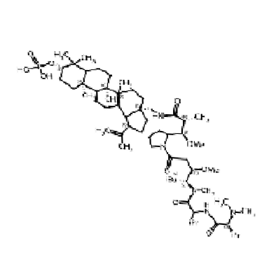 C=C(C)[C@@H]1CC[C@]2(CNC(=O)[C@H](C)[C@@H](OC)C3CCCN3C(=O)C[C@@H](OC)[C@H]([C@@H](C)CC)N(C)C(=O)C(NC(=O)[C@H](C(C)C)N(C)C)C(C)C)CC[C@]3(C)C(CCC4[C@@]5(C)CC[C@H](OP(=O)(O)O)C(C)(C)C5CC[C@]43C)C12